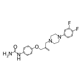 C=C(COc1ccc(NC(N)=O)cc1)CN1CCN(c2ccc(F)c(F)c2)CC1